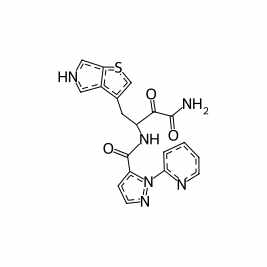 NC(=O)C(=O)C(Cc1csc2c[nH]cc12)NC(=O)c1ccnn1-c1ccccn1